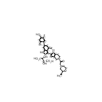 C#CC1CN(CC(=O)N2CCc3[nH]c(-c4n[nH]c5cc(-c6cc(F)c(O)cc6CC)cc(F)c45)nc3C2)CCO1.O=C(O)[C@H](O)[C@@H](O)C(=O)O